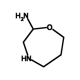 NC1CNCCCO1